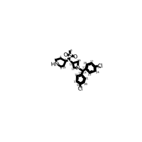 CS(=O)(=O)N(C1CCNCC1)C1CN(C(c2ccc(Cl)cc2)c2ccc(Cl)cc2)C1